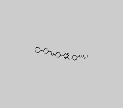 O=C(O)c1ccc(Cc2nc(-c3ccc(OCc4ccc(C5CCCCC5)cc4)cc3)cs2)cc1